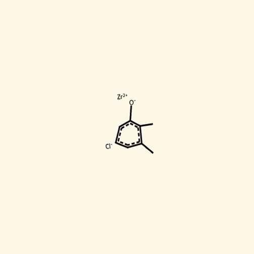 Cc1cccc([O-])c1C.[Cl-].[Zr+2]